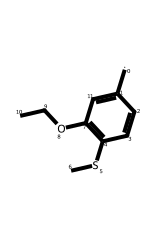 [CH2]c1ccc(SC)c(OCC)c1